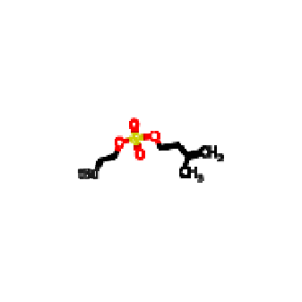 C=C(C)CCOS(=O)(=O)OCCC(C)(C)C